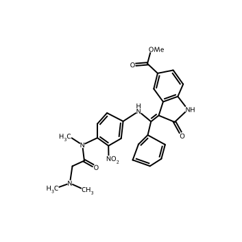 COC(=O)c1ccc2c(c1)C(=C(Nc1ccc(N(C)C(=O)CN(C)C)c([N+](=O)[O-])c1)c1ccccc1)C(=O)N2